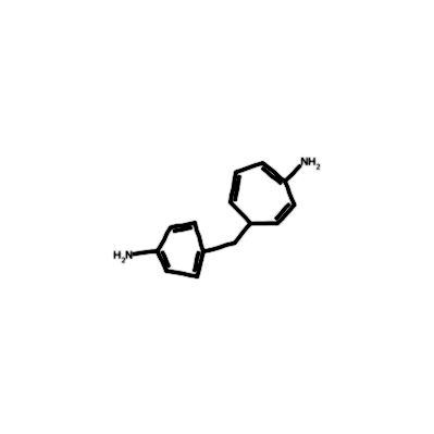 NC1=CC=CC(Cc2ccc(N)cc2)C=C1